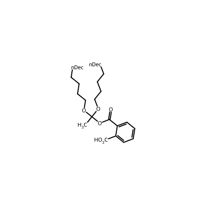 CCCCCCCCCCCCCCOC(C)(OCCCCCCCCCCCCCC)OC(=O)c1ccccc1C(=O)O